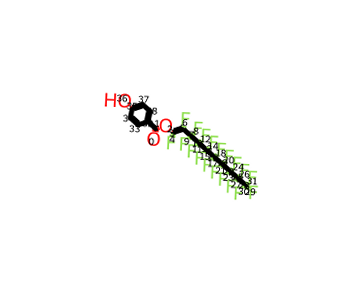 O=C(OC(F)=C(F)C(F)(F)C(F)(F)C(F)(F)C(F)(F)C(F)(F)C(F)(F)C(F)(F)C(F)(F)F)c1ccc(O)cc1